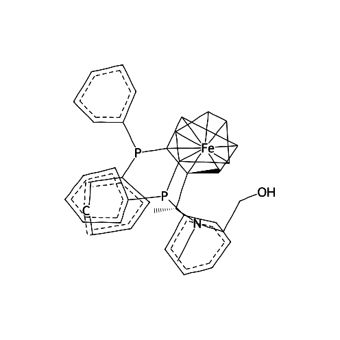 C[C@@H](N(C)CCO)[C@]12[CH]3[CH]4[CH]5[C]1(P(c1ccccc1)c1ccccc1)[Fe]45321678[CH]2[CH]1[CH]6[C]7(P(c1ccccc1)c1ccccc1)[CH]28